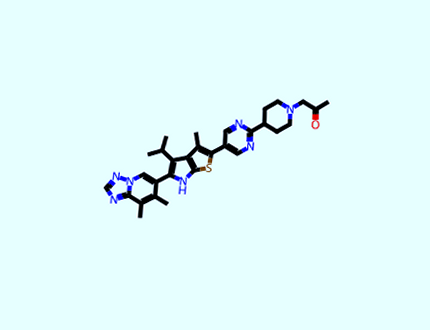 CC(=O)CN1CCC(c2ncc(-c3sc4[nH]c(-c5cn6ncnc6c(C)c5C)c(C(C)C)c4c3C)cn2)CC1